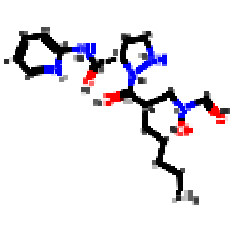 CCCCC[C@H](CN(O)C=O)C(=O)N1NCC[C@H]1C(=O)Nc1ccccn1